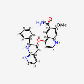 COc1cc2nccc(Oc3cc4cccnc4nc3-c3ccccc3)c2cc1C(N)=O